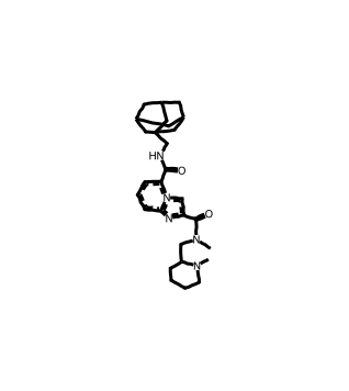 CN(CC1CCCCN1C)C(=O)c1cn2c(C(=O)NCC34CC5CC(CC(C5)C3)C4)cccc2n1